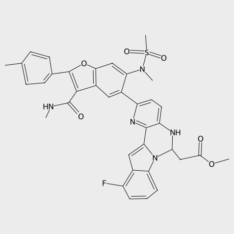 CNC(=O)c1c(-c2ccc(C)cc2)oc2cc(N(C)S(C)(=O)=O)c(-c3ccc4c(n3)-c3cc5c(F)cccc5n3C(CC(=O)OC)N4)cc12